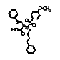 COc1ccc(S(=O)(=O)[C@@H](CCCCc2ccccc2)[C@@H](CSc2ccccc2)C(=O)O)cc1